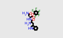 NC(=O)C[C@H](NC(=O)[C@H](N)Cc1c[nH]c2ccccc12)C(=O)Oc1c(F)c(F)c(F)c(F)c1F